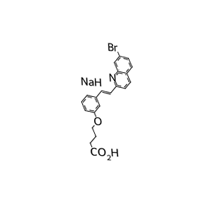 O=C(O)CCCOc1cccc(C=Cc2ccc3ccc(Br)cc3n2)c1.[NaH]